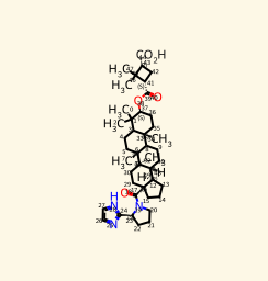 CC1(C)C2CC[C@]3(C)C(CC[C@@H]4[C@H]5CCC[C@]5(C(=O)N5CCC[C@H]5c5ncc[nH]5)CC[C@]43C)[C@@]2(C)CC[C@@H]1OC(=O)[C@H]1C[C@@H](C(=O)O)C1(C)C